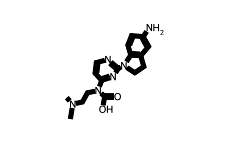 CN(C)CCN(C(=O)O)c1ccnc(N2CCc3cc(N)ccc32)n1